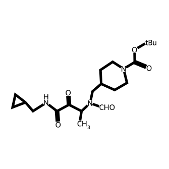 CC(C(=O)C(=O)NCC1CC1)N(C=O)CC1CCN(C(=O)OC(C)(C)C)CC1